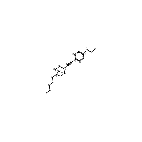 CCCCCC12CCC(C#Cc3ccc(OCC)cc3)(CC1)CC2